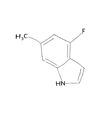 Cc1cc(F)c2cc[nH]c2c1